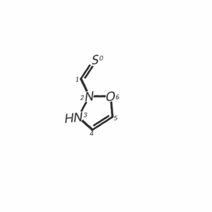 S=CN1NC=CO1